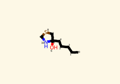 CCCCCC1(O)CSCN1